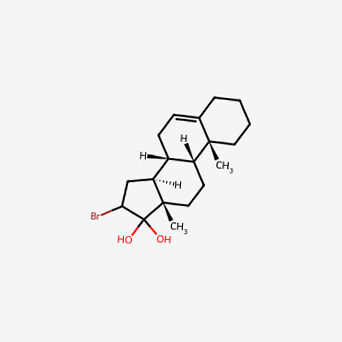 C[C@]12CCCCC1=CC[C@@H]1[C@H]2CC[C@@]2(C)[C@H]1CC(Br)C2(O)O